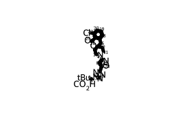 CC(C)(C)C(C(=O)O)n1nnc(-c2cc(N3CCC4(CC3)Cc3cccc(Cl)c3C(=O)O4)no2)n1